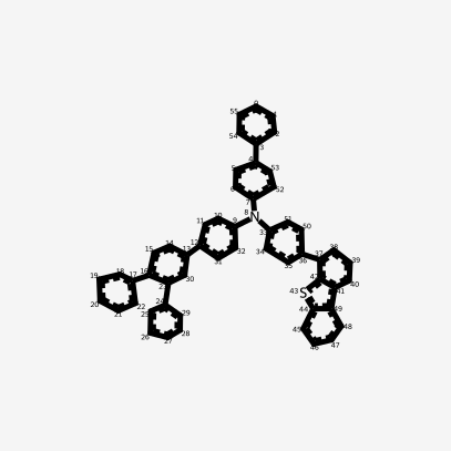 c1ccc(-c2ccc(N(c3ccc(-c4ccc(-c5ccccc5)c(-c5ccccc5)c4)cc3)c3ccc(-c4cccc5c4sc4ccccc45)cc3)cc2)cc1